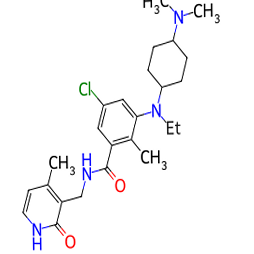 CCN(c1cc(Cl)cc(C(=O)NCc2c(C)cc[nH]c2=O)c1C)C1CCC(N(C)C)CC1